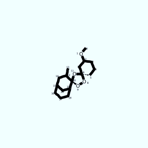 COC1CCC[C@]2(C1)OO[C@]1(O2)C(C)CC2CCCC1C2